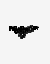 CC(C)OC(=O)CN1Cc2ccccc2C2(CCN([C@H]3CC[C@@H](C(C)C)CC3)CC2)C1=O